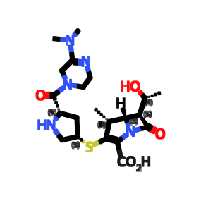 C[C@@H](O)[C@H]1C(=O)N2C(C(=O)O)=C(S[C@@H]3CN[C@H](C(=O)N4CCN=C(N(C)C)C4)C3)[C@H](C)[C@H]12